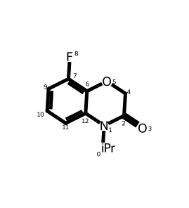 CC(C)N1C(=O)COc2c(F)cccc21